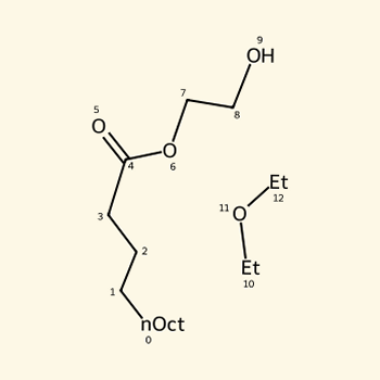 CCCCCCCCCCCC(=O)OCCO.CCOCC